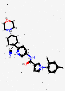 Cc1ccc(-n2ccc(C(=O)Nc3ccc([C@]4(C#N)CC[C@@H](N5CCOCC5)CC4)nc3)c2)c(C)c1